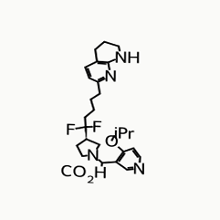 CC(C)Oc1ccncc1C(C(=O)O)N1CC[C@@H](C(F)(F)CCCCc2ccc3c(n2)NCCC3)C1